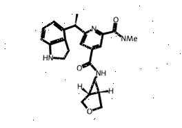 CNC(=O)c1cc(C(=O)N[C@H]2[C@@H]3COC[C@@H]32)cc([C@H](C)c2cccc3c2CCN3)n1